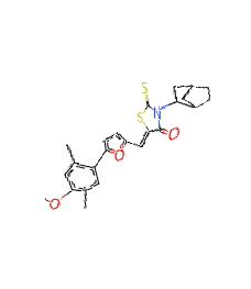 COc1cc(C)c(-c2ccc(/C=C3\SC(=S)N(C4CC5CCC4C5)C3=O)o2)cc1C